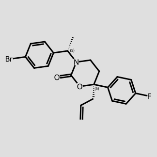 C=CC[C@@]1(c2ccc(F)cc2)CCN([C@@H](C)c2ccc(Br)cc2)C(=O)O1